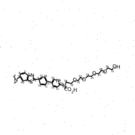 CN(C)c1ccc2nc(-c3ccc(-c4ccc(N(CCOCCOCCOCCOCCO)C(=O)O)nc4)cc3)sc2c1